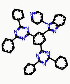 c1ccc(-c2nc(-c3ccccc3)nc(-c3cc(-c4nc(-c5ccccc5)nc(-c5ccccc5)n4)cc(-c4nc5ccccc5n4-c4ccncc4)c3)n2)cc1